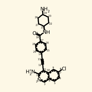 Nc1ncc2ccc(Cl)cc2c1C#Cc1ccc(C(=O)NC2CCC(N)CC2)cc1